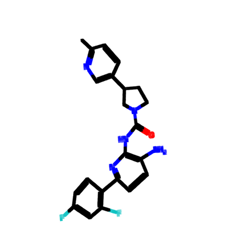 Cc1ccc(C2CCN(C(=O)Nc3nc(-c4ccc(F)cc4F)ccc3N)C2)cn1